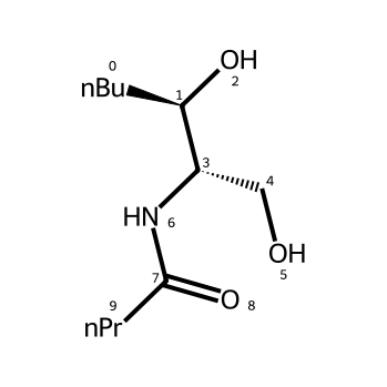 CCCC[C@@H](O)[C@H](CO)NC(=O)CCC